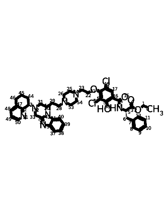 CCOC(=O)[C@H](Cc1ccccc1)NC(=O)c1cc(Cl)c(OCCN2CCN(CCCCN(Cc3nc4ccccc4[nH]3)[C@H]3CCCc4cccnc43)CC2)c(Cl)c1O